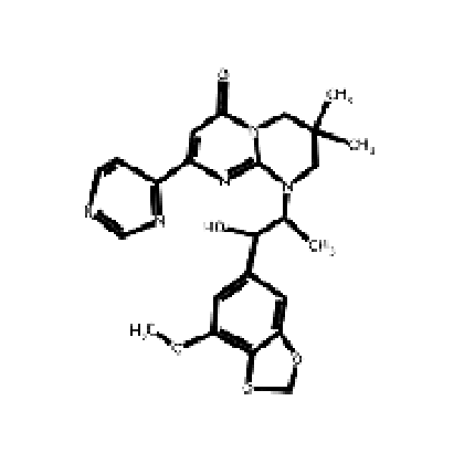 COc1cc(C(O)C(C)N2CC(C)(C)Cn3c2nc(-c2ccncn2)cc3=O)cc2c1OCO2